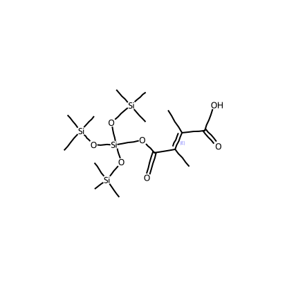 C/C(C(=O)O)=C(/C)C(=O)O[Si](O[Si](C)(C)C)(O[Si](C)(C)C)O[Si](C)(C)C